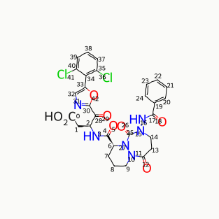 O=C(O)C[C@H](NC(=O)[C@@H]1CCCN2C(=O)CCN(NC(=O)c3ccccc3)C(=O)N12)C(=O)c1ncc(-c2c(Cl)cccc2Cl)o1